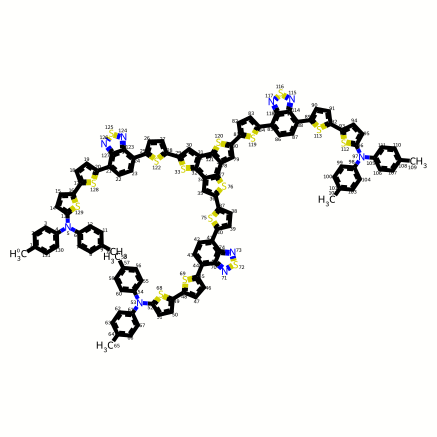 Cc1ccc(N(c2ccc(C)cc2)c2ccc(-c3ccc(-c4ccc(-c5ccc(-c6cc7c(s6)c6cc(-c8ccc(-c9ccc(-c%10ccc(-c%11ccc(N(c%12ccc(C)cc%12)c%12ccc(C)cc%12)s%11)s%10)c%10nsnc9%10)s8)sc6c6cc(-c8ccc(-c9ccc(-c%10ccc(-c%11ccc(N(c%12ccc(C)cc%12)c%12ccc(C)cc%12)s%11)s%10)c%10nsnc9%10)s8)sc76)s5)c5nsnc45)s3)s2)cc1